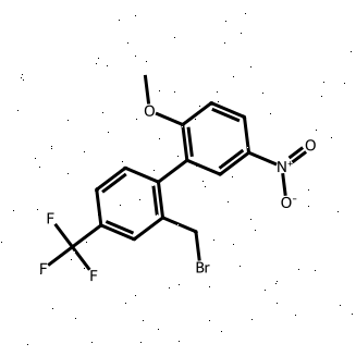 COc1ccc([N+](=O)[O-])cc1-c1ccc(C(F)(F)F)cc1CBr